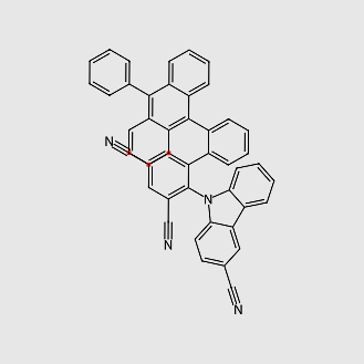 N#Cc1cc(C#N)c(-n2c3ccccc3c3cc(C#N)ccc32)c(-c2ccccc2-c2c3ccccc3c(-c3ccccc3)c3ccccc23)c1